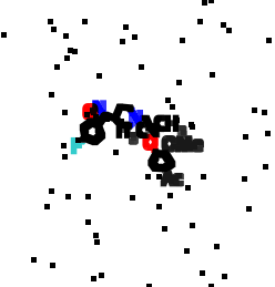 COc1cc(C(C)=O)ccc1OCC(C)(C)CN1CCC(c2noc3cc(F)ccc23)CC1